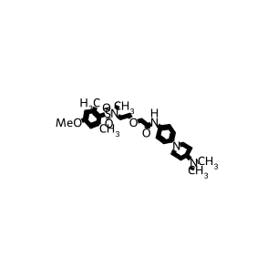 COc1cc(C)c(S(=O)(=O)N(C)CCOCC(=O)Nc2ccc(N3CCC(N(C)C)CC3)cc2)c(C)c1